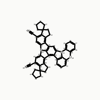 N#Cc1cc2c(c3c1C1(CCCC1)CC3)c1cc3c(c4cccc5oc6ccccc6n3c54)c3c4c5c(c(C#N)cc4n2c13)C1(CCCC1)CC5